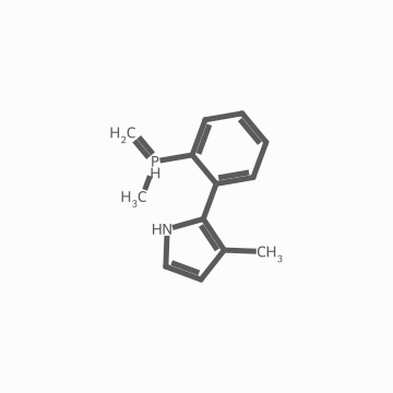 C=[PH](C)c1ccccc1-c1[nH]ccc1C